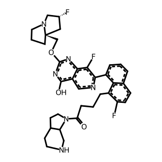 O=C(CCCc1c(F)ccc2cccc(-c3ncc4c(O)nc(OC[C@@]56CCCN5C[C@H](F)C6)nc4c3F)c12)N1CCC2CCNCC21